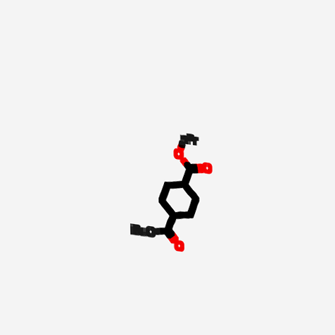 CCCOC(=O)C1CCC(C(=O)OCC(C)C)CC1